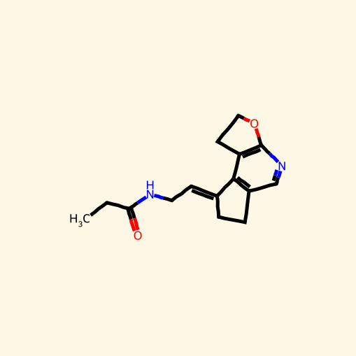 CCC(=O)NCC=C1CCc2cnc3c(c21)CCO3